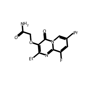 CCc1nc2c(F)cc(C(C)C)cn2c(=O)c1OCC(N)=O